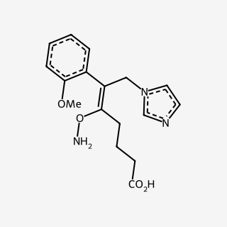 COc1ccccc1C(Cn1ccnc1)=C(CCCC(=O)O)ON